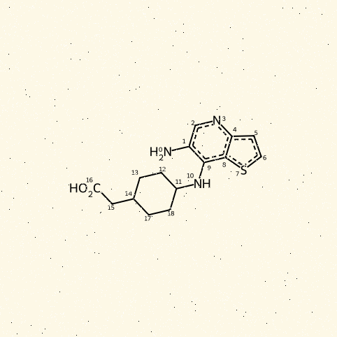 Nc1cnc2ccsc2c1NC1CCC(CC(=O)O)CC1